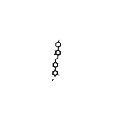 CCOc1ccc(-c2ccc(CCc3ccc(C4=CCC(C)CC4)c(F)c3F)cc2)cc1F